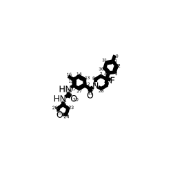 Cc1ccc(C2(F)CCN(C(=O)c3ccc(C)c(NC(=O)NC4CCOC4)c3)CC2)cc1